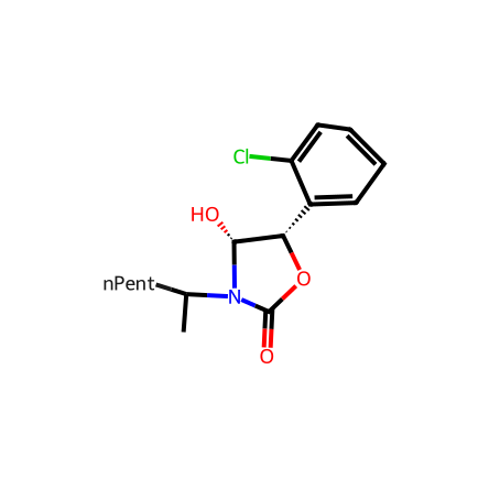 CCCCCC(C)N1C(=O)O[C@@H](c2ccccc2Cl)[C@H]1O